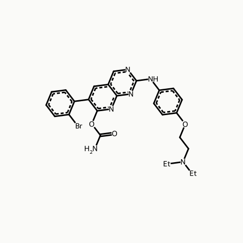 CCN(CC)CCOc1ccc(Nc2ncc3cc(-c4ccccc4Br)c(OC(N)=O)nc3n2)cc1